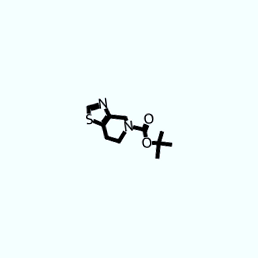 CC(C)(C)OC(=O)N1CCc2scnc2C1